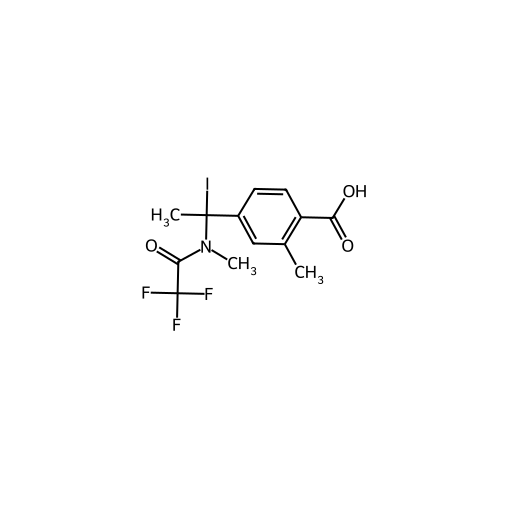 Cc1cc(C(C)(I)N(C)C(=O)C(F)(F)F)ccc1C(=O)O